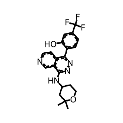 CC1(C)CC(Nc2nnc(-c3ccc(C(F)(F)F)cc3O)c3ccncc23)CCO1